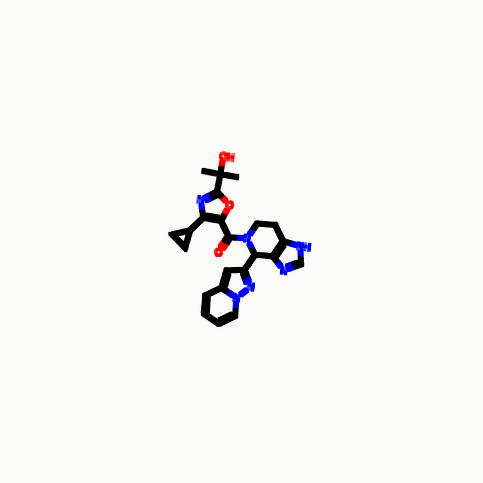 CC(C)(O)c1nc(C2CC2)c(C(=O)N2CCc3[nH]cnc3C2c2cc3ccccn3n2)o1